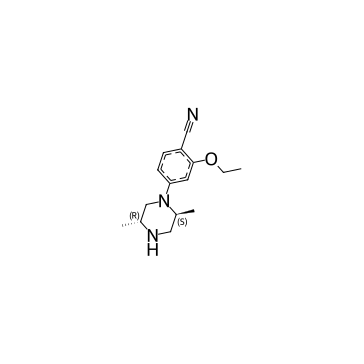 CCOc1cc(N2C[C@@H](C)NC[C@@H]2C)ccc1C#N